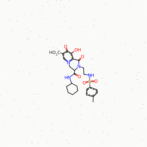 Cc1ccc(S(=O)(=O)NCCN2C(=O)c3c(O)c(=O)c(C(=O)O)cn3CC2C(=O)NC2CCCCC2)cc1